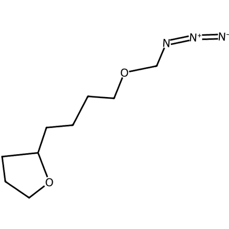 [N-]=[N+]=NCOCCCCC1CCCO1